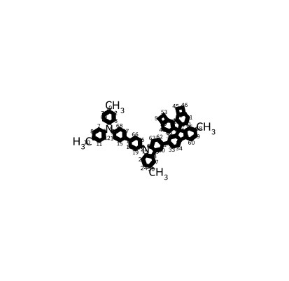 Cc1ccc(N(c2ccc(C)cc2)c2ccc(-c3ccc(-n4c5ccc(C)cc5c5cc(-c6ccc7c(c6)C(c6ccc8c(c6)CC8)(c6ccc8c(c6)CC8)c6cc(C)ccc6-7)ccc54)cc3)cc2)cc1